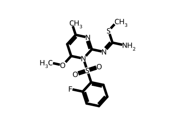 COC1C=C(C)N=C(N=C(N)SC)N1S(=O)(=O)c1ccccc1F